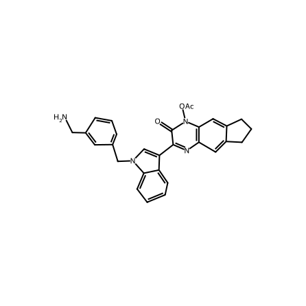 CC(=O)On1c(=O)c(-c2cn(Cc3cccc(CN)c3)c3ccccc23)nc2cc3c(cc21)CCC3